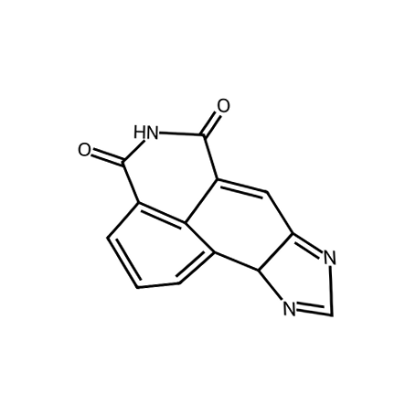 O=C1NC(=O)c2cccc3c2C1=CC1=NC=NC13